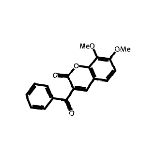 COc1ccc2cc(C(=O)c3ccccc3)c(=O)oc2c1OC